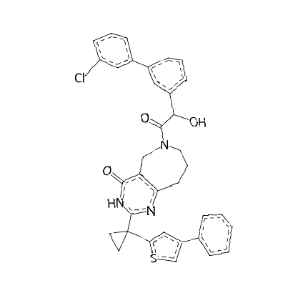 O=C(C(O)c1cccc(-c2cccc(Cl)c2)c1)N1CCCc2nc(C3(c4cc(-c5ccccc5)cs4)CC3)[nH]c(=O)c2C1